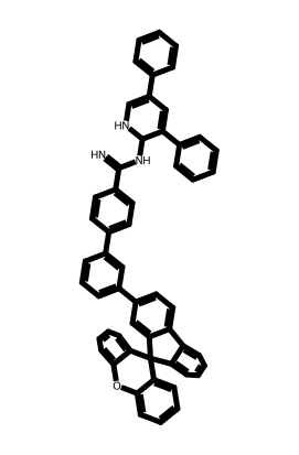 N=C(NC1NC=C(c2ccccc2)C=C1c1ccccc1)c1ccc(-c2cccc(-c3ccc4c(c3)C3(c5ccccc5Oc5ccccc53)c3ccccc3-4)c2)cc1